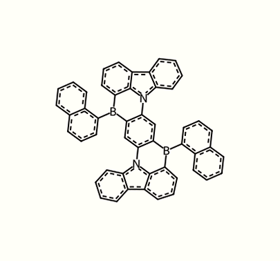 c1ccc2c(B3c4cc5c(cc4-n4c6ccccc6c6cccc3c64)B(c3cccc4ccccc34)c3cccc4c6ccccc6n-5c34)cccc2c1